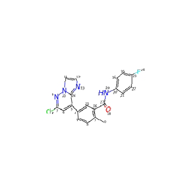 Cc1ccc(-c2cc(Cl)nn3ccnc23)cc1C(=O)Nc1ccc(F)cc1